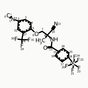 [C-]#[N+]c1ccc(OCC(C)(C#N)NC(=O)c2ccc(S(F)(F)(F)(F)F)cc2)c(C(F)(F)F)c1